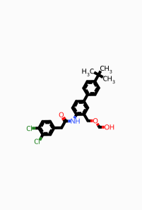 CC(C)(C)c1ccc(-c2ccc(NC(=O)Cc3ccc(Cl)c(Cl)c3)c(COCO)c2)cc1